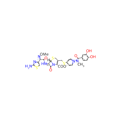 CO/N=C(\C(=O)N[C@@H]1C(=O)N2C(C(=O)[O-])=C(CSc3cc[n+](N(C)C(=O)c4ccc(O)c(O)c4)cc3)CS[C@H]12)c1csc(N)n1